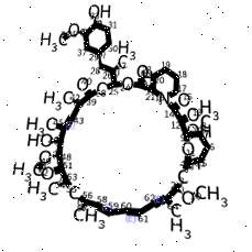 CO[C@H]1C[C@@H]2CC[C@@H](C)[C@@](O)(O2)C(=O)C(=O)N2CCCC[C@H]2C(=O)OC([C@H](C)C[C@@H]2CC[C@@H](O)[C@H](OC)C2)CC(=O)[C@H](C)/C=C(\C)[C@H](O)[C@@H](OC)C(=O)[C@H](C)C[C@H](C)/C=C/C=C/C=C/1C